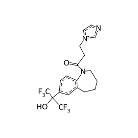 O=C(CCn1ccnc1)N1CCCCc2cc(C(O)(C(F)(F)F)C(F)(F)F)ccc21